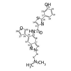 CN(C)CCn1cc2cc(NC(=O)c3csc(-c4cccc(O)c4)n3)c(-c3ccoc3)cc2n1